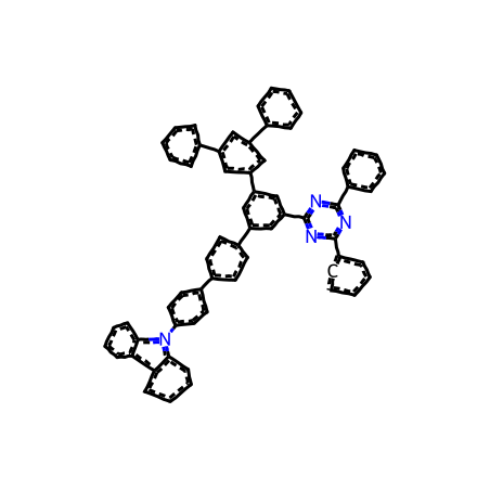 c1ccc(-c2cc(-c3ccccc3)cc(-c3cc(-c4ccc(-c5ccc(-n6c7ccccc7c7ccccc76)cc5)cc4)cc(-c4nc(-c5ccccc5)nc(-c5ccccc5)n4)c3)c2)cc1